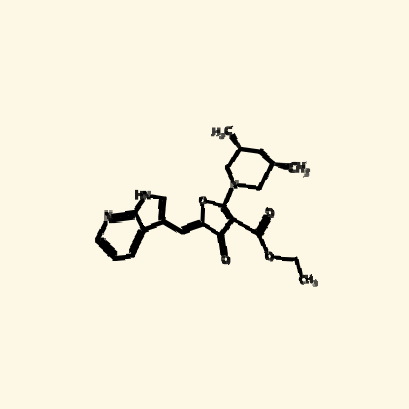 CCOC(=O)C1=C(N2C[C@H](C)C[C@H](C)C2)OC(=Cc2c[nH]c3ncccc23)C1=O